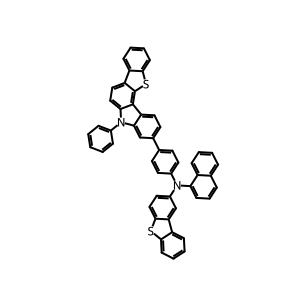 c1ccc(-n2c3cc(-c4ccc(N(c5ccc6sc7ccccc7c6c5)c5cccc6ccccc56)cc4)ccc3c3c4sc5ccccc5c4ccc32)cc1